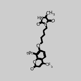 CCCc1c(OCCCCCN2C(=O)NC(C)C2=O)ccc2c(C(F)(F)F)cc(=O)oc12